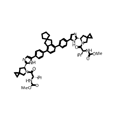 COC(=O)N[C@H](C(=O)N1CC2(CC2)C[C@H]1c1ncc(-c2ccc(-c3ccc(-c4ccc(-c5cnc([C@@H]6CC7(CC7)CN6C(=O)[C@@H](NC(=O)OC)C(C)C)[nH]5)cc4)c4c3CC3(CCCC3)C4)cc2)[nH]1)C(C)C